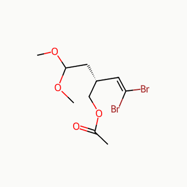 COC(C[C@H](C=C(Br)Br)COC(C)=O)OC